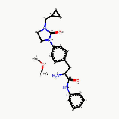 CC(C)(C)OC=O.NC(Cc1ccc(N2CCN(CC3CC3)C2=O)cc1)C(=O)Nc1ccccc1